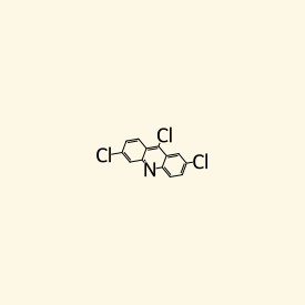 Clc1ccc2c(Cl)c3cc(Cl)ccc3nc2c1